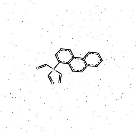 O=[CH][Cr]([CH]=O)([CH]=O)[c]1cccc2c1ccc1ccccc12